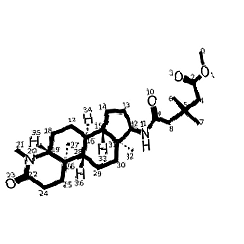 COC(=O)CC(C)(C)CC(=O)NC1CC[C@H]2[C@@H]3CC[C@H]4N(C)C(=O)CC[C@]4(C)[C@H]3CC[C@]12C